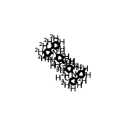 [2H]c1c([2H])c([Si](C)(C)c2c([2H])c([2H])c(-n3c4c([2H])c([2H])c([2H])c([2H])c4c4c([2H])c([2H])c([2H])c(C)c43)c([2H])c2[2H])c([2H])c([2H])c1-n1c2c([2H])c([2H])c([2H])c([2H])c2c2c([2H])c([2H])c([2H])c([2H])c21